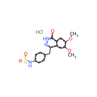 COc1cc2c(Cc3ccc(N[SH](=O)=O)cc3)n[nH]c(=O)c2cc1OC.Cl